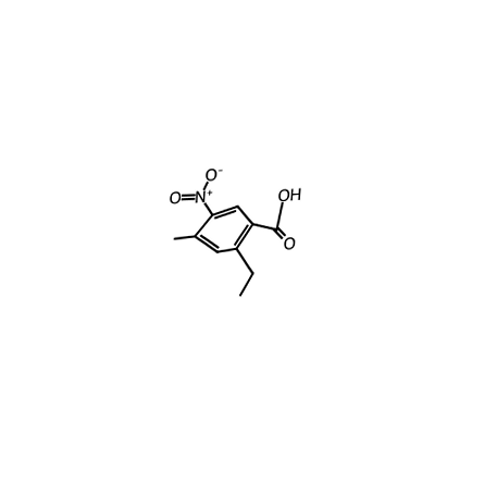 CCc1cc(C)c([N+](=O)[O-])cc1C(=O)O